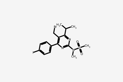 CC(C)c1nc(N(C)S(C)(=O)=O)nc(-c2ccc(I)cc2)c1CBr